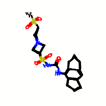 CS(=O)(=O)CCN1CC(S(=O)(=O)NC(=O)Nc2c3c(cc4c2CCC4)CCC3)C1